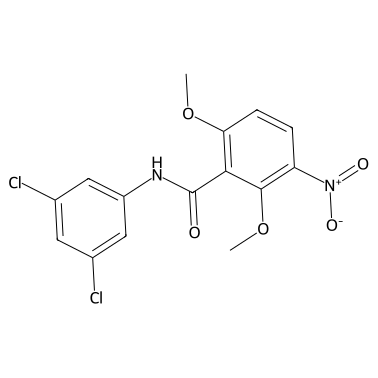 COc1ccc([N+](=O)[O-])c(OC)c1C(=O)Nc1cc(Cl)cc(Cl)c1